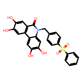 O=c1c2cc(O)c(O)cc2c2cc(O)c(O)cc2n1Cc1ccc(S(=O)(=O)c2ccccc2)cc1